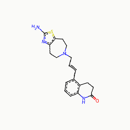 Nc1nc2c(s1)CCN(CC=Cc1cccc3c1CCC(=O)N3)CC2